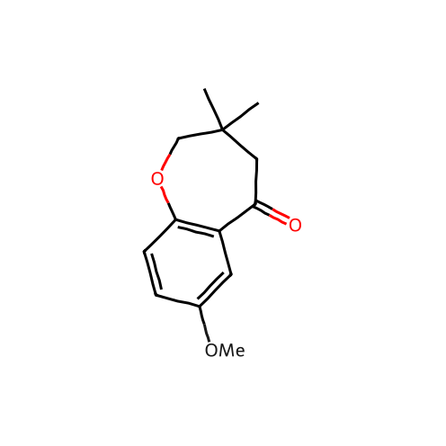 COc1ccc2c(c1)C(=O)CC(C)(C)CO2